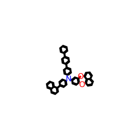 c1ccc(-c2ccc(-c3ccc(N(c4ccc(-c5cccc6ccccc56)cc4)c4ccc5c(c4)Oc4cccc6cccc(c46)O5)cc3)cc2)cc1